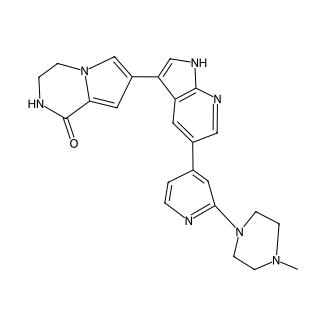 CN1CCN(c2cc(-c3cnc4[nH]cc(-c5cc6n(c5)CCNC6=O)c4c3)ccn2)CC1